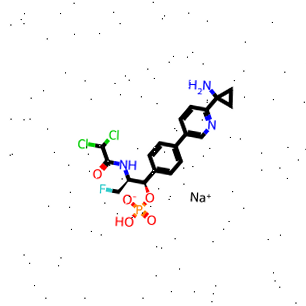 NC1(c2ccc(-c3ccc([C@@H](OP(=O)([O-])O)[C@@H](CF)NC(=O)C(Cl)Cl)cc3)cn2)CC1.[Na+]